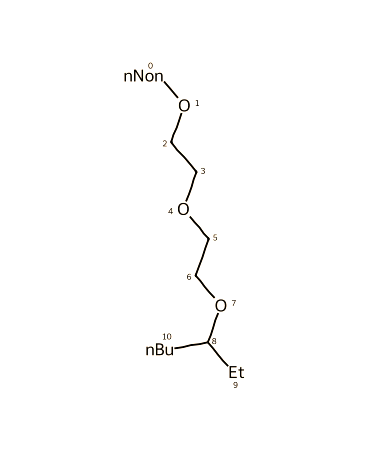 CCCCCCCCCOCCOCCOC(CC)CCCC